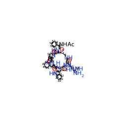 CC(=O)N[C@H](C(=O)N[C@H]1CCCNC(=O)[C@H](CCCNC(=N)N)NC(=O)C(Cc2c[nH]c3ccccc23)NC(=O)[C@@H](CC2CCCCC2)NC(=O)[C@@H]2CCCN2C1=O)c1ccccc1